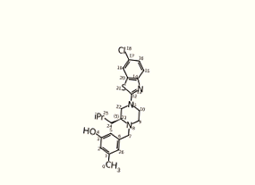 Cc1cc(O)cc(CN2CCN(c3nc4ccc(Cl)cc4s3)C[C@@H]2CC(C)C)c1